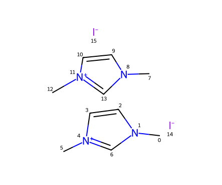 Cn1cc[n+](C)c1.Cn1cc[n+](C)c1.[I-].[I-]